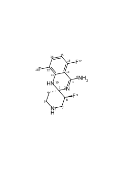 NC1=N[C@]2(CCNC[C@@H]2F)Nc2c(F)ccc(F)c21